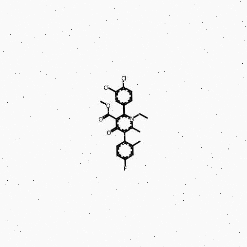 CCn1c(C)c(-c2ccc(F)cc2C)c(=O)c(C(=O)OC)c1-c1ccc(Cl)c(Cl)c1